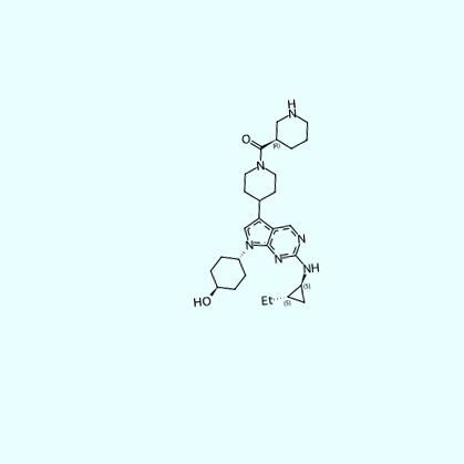 CC[C@H]1C[C@@H]1Nc1ncc2c(C3CCN(C(=O)[C@@H]4CCCNC4)CC3)cn([C@H]3CC[C@H](O)CC3)c2n1